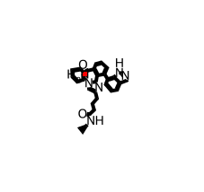 NC(=O)c1cccc(-c2cccc3cn[nH]c23)c1-c1nc(CCCC(=O)NC2CC2)cn1-c1ccccc1